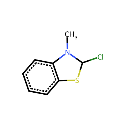 CN1c2ccccc2SC1Cl